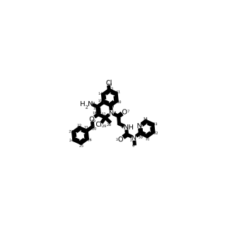 CN(C(=O)NCC(=O)N1c2ccc(Cl)cc2C(N)=C(OCc2ccccc2)C1(C)Cl)c1ccccn1